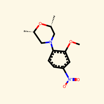 COc1cc([N+](=O)[O-])ccc1N1C[C@@H](C)O[C@@H](C)C1